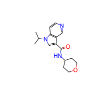 CC(C)n1cc(C(=O)NC2CCOCC2)c2cnccc21